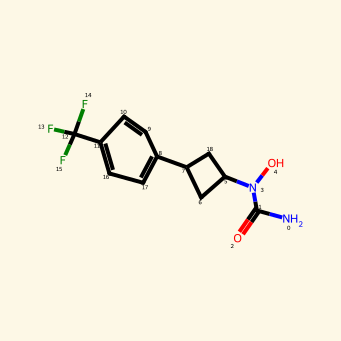 NC(=O)N(O)C1CC(c2ccc(C(F)(F)F)cc2)C1